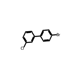 Clc1cc[c]c(-c2ccc(Br)cc2)c1